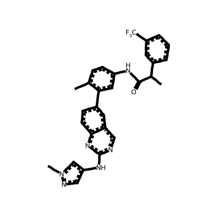 Cc1ccc(NC(=O)C(C)c2cccc(C(F)(F)F)c2)cc1-c1ccc2nc(Nc3cnn(C)c3)ncc2c1